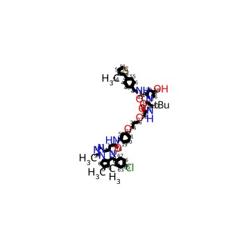 CC1=C(C)C2=C(C1)n1c(C)nnc1C(CC(=O)Nc1cccc(OCCCOCC(=O)N[C@H](C(=O)N3C[C@H](O)C[C@H]3C(=O)NCc3ccc(-c4sccc4C)cc3)C(C)(C)C)c1)N=C2c1ccc(Cl)cc1